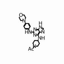 CC(=O)N1CCC(Nc2nc(Nc3ccc(N4CCOCC4)cc3)nc3[nH]cnc23)CC1